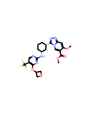 COC(=O)c1cn2c([C@H]3CCC[C@@H](Nc4ncc(C(F)(F)F)c(OC5COC5)n4)C3)nnc2cc1OC